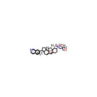 CC1(C[N+](C)([O-])C2CCC3=CC4=CCC5(C)C(c6ccc7ccncc7c6)CC[C@H]5[C@@]45CC[C@]3(C2)O5)COC1